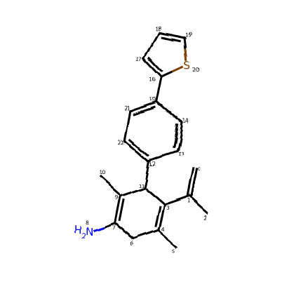 C=C(C)C1=C(C)CC(N)=C(C)C1c1ccc(-c2cccs2)cc1